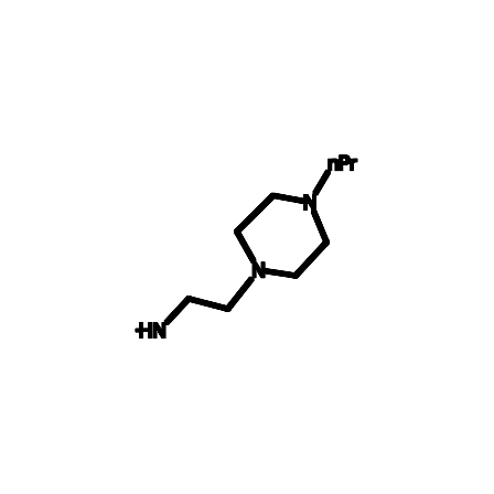 CCCN1CCN(CC[NH])CC1